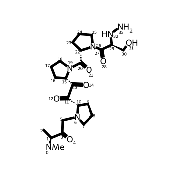 CN[C@@H](C)C(=O)CN1CCC[C@H]1C(=O)C(=O)[C@@H]1CCCN1C(=O)[C@@H]1CCCN1C(=O)[C@H](CO)NN